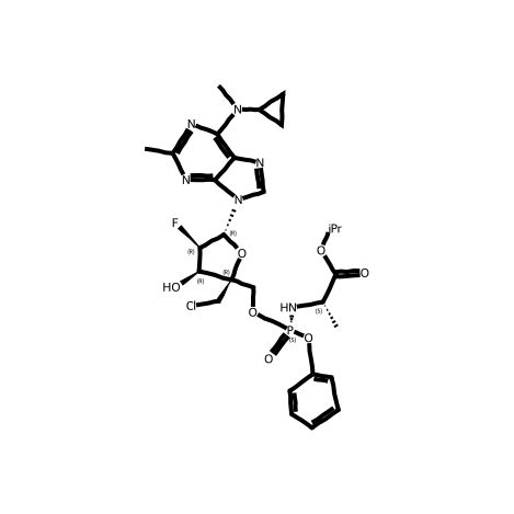 Cc1nc(N(C)C2CC2)c2ncn([C@@H]3O[C@](CCl)(CO[P@@](=O)(N[C@@H](C)C(=O)OC(C)C)Oc4ccccc4)[C@@H](O)[C@H]3F)c2n1